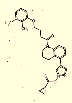 Cc1cccc(OCCCC(=O)N2CCCc3c(-c4cnn(OC(=O)C5CC5)c4)cccc32)c1C